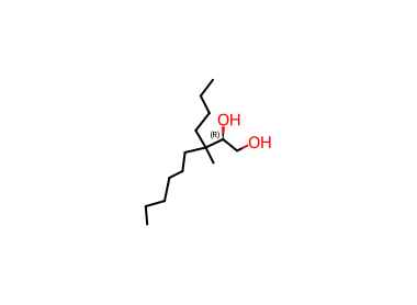 CCCCCCC(C)(CCCC)[C@@H](O)CO